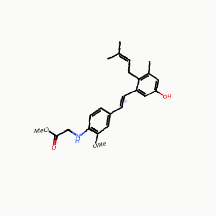 COC(=O)CNc1ccc(/C=C/c2cc(O)cc(C)c2CC=C(C)C)cc1OC